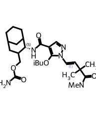 CNC(=O)C(C)(C)/C=C/n1ncc(C(=O)N[C@H]2C3CCCC(C3)CC2COC(N)=O)c1OCC(C)C